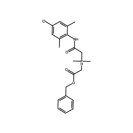 Cc1cc(Cl)cc(C)c1NC(=O)C[PH](C)(C)CC(=O)OCc1ccccc1